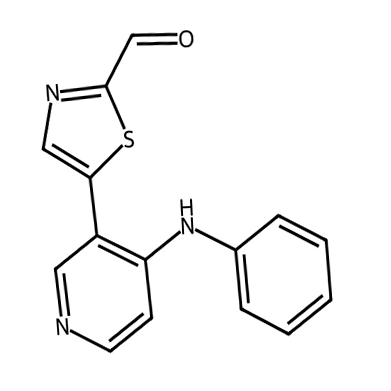 O=Cc1ncc(-c2cnccc2Nc2ccccc2)s1